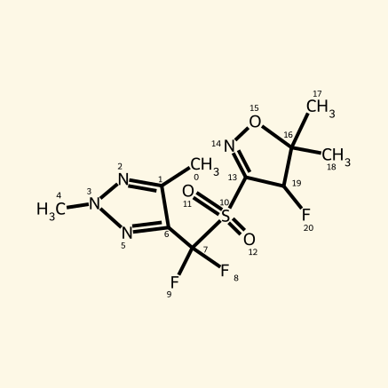 Cc1nn(C)nc1C(F)(F)S(=O)(=O)C1=NOC(C)(C)C1F